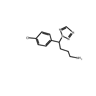 NCCCC(c1ccc(Cl)cc1)n1ncnn1